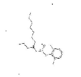 CCCCCCCN(CCC)CC(=O)Sc1c(C)cccc1C